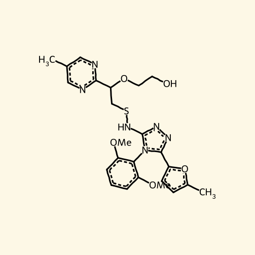 COc1cccc(OC)c1-n1c(NSCC(OCCO)c2ncc(C)cn2)nnc1-c1ccc(C)o1